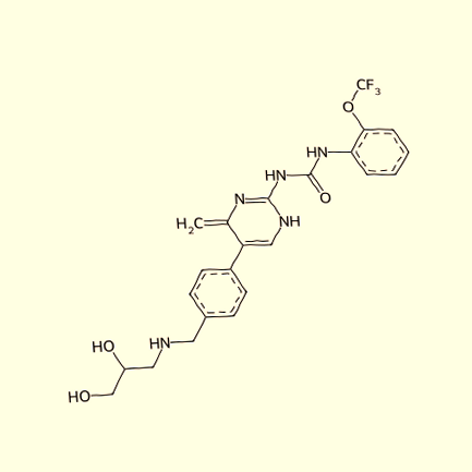 C=C1N=C(NC(=O)Nc2ccccc2OC(F)(F)F)NC=C1c1ccc(CNCC(O)CO)cc1